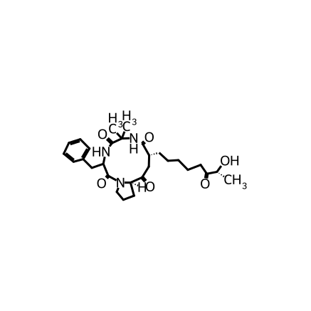 C[C@@H](O)C(=O)CCCCC[C@@H]1CC(=O)[C@H]2CCCN2C(=O)C(Cc2ccccc2)NC(=O)C(C)(C)NC1=O